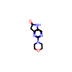 O=C1Cc2nc(N3CCOCC3)ncc2N1